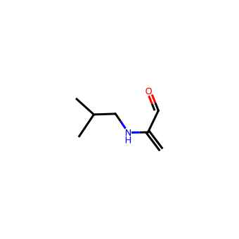 C=C(C=O)NCC(C)C